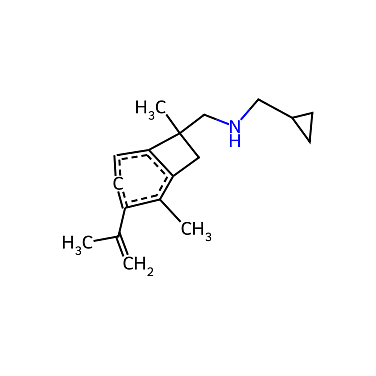 C=C(C)c1ccc2c(c1C)CC2(C)CNCC1CC1